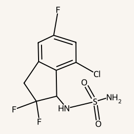 NS(=O)(=O)NC1c2c(Cl)cc(F)cc2CC1(F)F